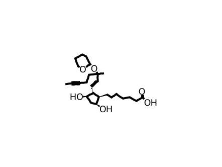 CC#CCCC(C)(C=C[C@@H]1[C@@H](CCCCCCC(=O)O)[C@@H](O)C[C@H]1O)OC1CCCCO1